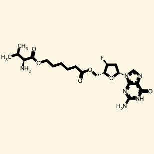 CC(C)[C@H](N)C(=O)OCCCCCC(=O)OC[C@H]1O[C@@H](n2cnc3c(=O)[nH]c(N)nc32)C[C@@H]1F